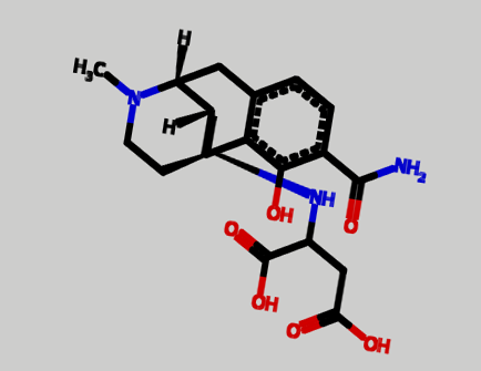 CN1CC[C@]23C[C@H](NC(CC(=O)O)C(=O)O)CC[C@H]2[C@H]1Cc1ccc(C(N)=O)c(O)c13